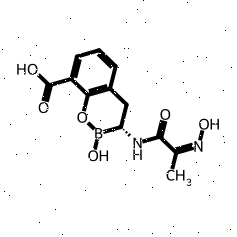 C/C(=N/O)C(=O)N[C@H]1Cc2cccc(C(=O)O)c2OB1O